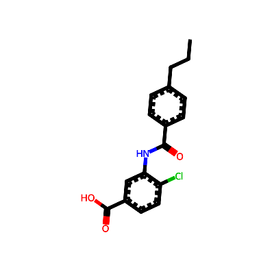 CCCc1ccc(C(=O)Nc2cc(C(=O)O)ccc2Cl)cc1